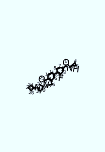 O=C(NC1CC1)c1ccc(-c2ccc3c(c2)CCN([C@@H]2CCN(C4CCC4)C2)C3=O)c(F)c1